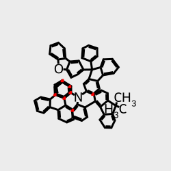 CC1(C)c2ccccc2-c2c(-c3ccccc3N(c3ccc4c(c3)C(c3ccccc3)(c3ccc5oc6ccccc6c5c3)c3ccccc3-4)c3ccccc3-c3ccccc3-c3ccccc3-c3ccccc3)cccc21